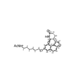 CC(=O)NCCCCCCOc1ccc2c(ccc3occ(C4CCC(=O)NC4=O)c32)c1